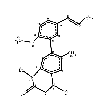 CCN1C(=O)CN(C(C)C)c2cc(C)c(-c3cc(C=CC(=O)O)ccc3OC(F)(F)F)cc21